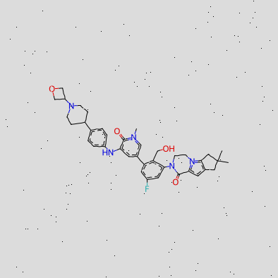 Cn1cc(-c2cc(F)cc(N3CCn4c(cc5c4CC(C)(C)C5)C3=O)c2CO)cc(Nc2ccc(C3CCN(C4COC4)CC3)cc2)c1=O